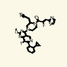 COc1nc(N2CCN(C(=O)/C(F)=C/c3nccs3)C(CC#N)C2)c2cnc(-c3ccccc3C3CC3)c(F)c2n1